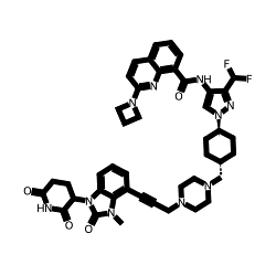 Cn1c(=O)n(C2CCC(=O)NC2=O)c2cccc(C#CCN3CCN(C[C@H]4CC[C@H](n5cc(NC(=O)c6cccc7ccc(N8CCC8)nc67)c(C(F)F)n5)CC4)CC3)c21